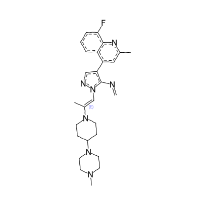 C=Nc1c(-c2cc(C)nc3c(F)cccc23)cnn1/C=C(\C)N1CCC(N2CCN(C)CC2)CC1